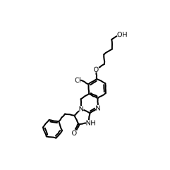 O=C1NC2=Nc3ccc(OCCCCO)c(Cl)c3CN2C1Cc1ccccc1